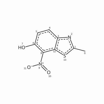 Cc1nc2ccc(O)c([N+](=O)[O-])c2s1